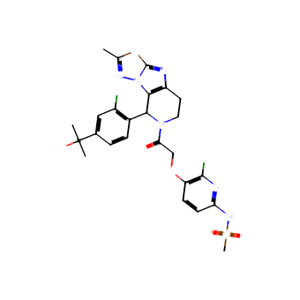 Cc1nn2c3c(nc2s1)CCN(C(=O)COc1ccc(NS(C)(=O)=O)nc1Cl)C3c1ccc(C(C)(C)O)cc1F